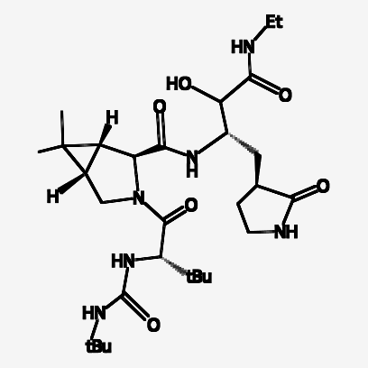 CCNC(=O)C(O)[C@H](C[C@@H]1CCNC1=O)NC(=O)[C@@H]1[C@@H]2[C@H](CN1C(=O)[C@@H](NC(=O)NC(C)(C)C)C(C)(C)C)C2(C)C